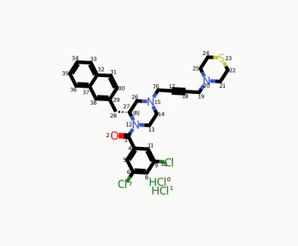 Cl.Cl.O=C(c1cc(Cl)cc(Cl)c1)N1CCN(CC#CCN2CCSCC2)C[C@H]1Cc1ccc2ccccc2c1